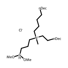 CCCCCCCCCCCCCC[N+](C)(CCCCCCCCCCCC)CCC[SiH](OC)OC.[Cl-]